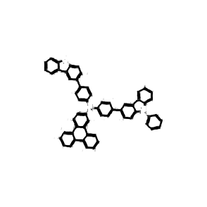 c1ccc(-n2c3ccccc3c3cc(-c4ccc(N(c5ccc(-c6ccc7sc8ccccc8c7c6)cc5)c5ccc6c7ccccc7c7ccccc7c6c5)cc4)ccc32)cc1